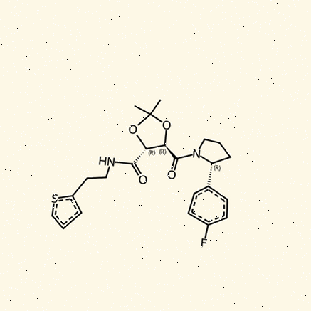 CC1(C)O[C@@H](C(=O)NCCc2cccs2)[C@H](C(=O)N2CCC[C@@H]2c2ccc(F)cc2)O1